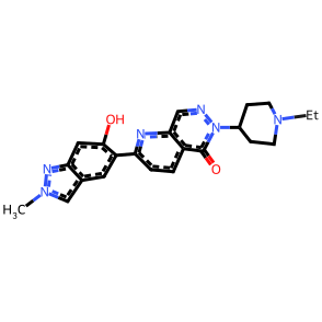 CCN1CCC(n2ncc3nc(-c4cc5cn(C)nc5cc4O)ccc3c2=O)CC1